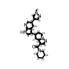 Cn1cc(-c2cnc3[nH]cc(-c4ccn5ncc(C(=O)N6CCCCC6)c5c4)c3c2)cn1